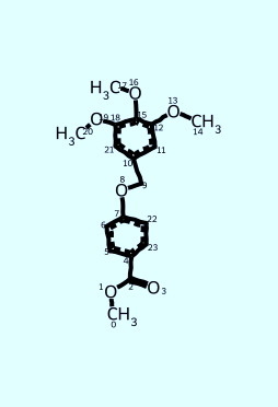 COC(=O)c1ccc(OCc2cc(OC)c(OC)c(OC)c2)cc1